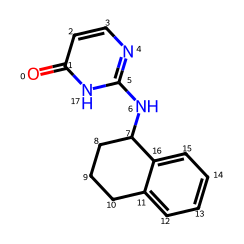 O=c1ccnc(NC2CCCc3ccccc32)[nH]1